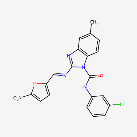 Cc1ccc2c(c1)nc(N=Cc1ccc([N+](=O)[O-])o1)n2C(=O)Nc1cccc(Cl)c1